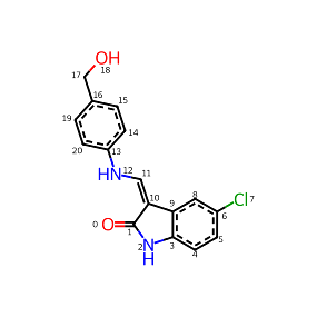 O=C1Nc2ccc(Cl)cc2C1=CNc1ccc(CO)cc1